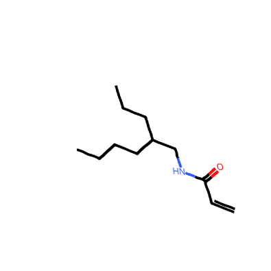 C=CC(=O)NCC(CCC)CCCC